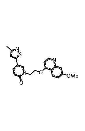 COc1ccc2c(OCCn3cc(-c4cc(C)ns4)ccc3=O)ccnc2c1